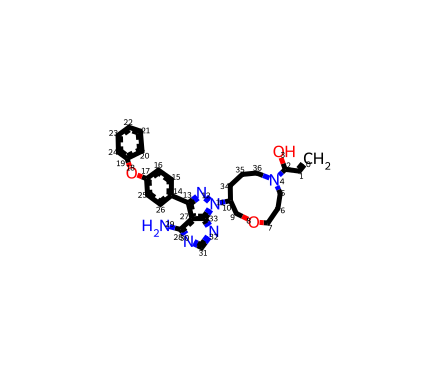 C=CC(O)N1CCCOCC(n2nc(-c3ccc(Oc4ccccc4)cc3)c3c(N)ncnc32)CCC1